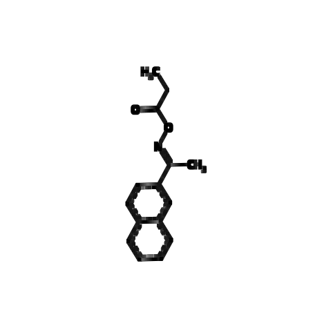 CCC(=O)O/N=C(\C)c1ccc2ccccc2c1